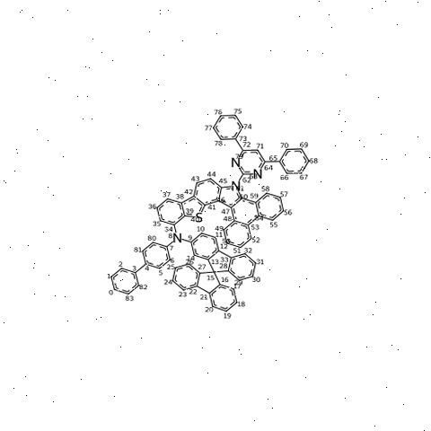 c1ccc(-c2ccc(N(c3ccc4c(c3)C3(c5ccccc5-c5ccccc53)c3ccccc3-4)c3cccc4c3sc3c4ccc4c3c3c5ccccc5c5ccccc5c3n4-c3nc(-c4ccccc4)cc(-c4ccccc4)n3)cc2)cc1